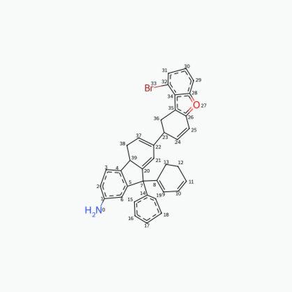 Nc1ccc2c(c1)C(C1=CC=CCC1)(c1ccccc1)C1=CC(C3C=Cc4oc5cccc(Br)c5c4C3)=CCC12